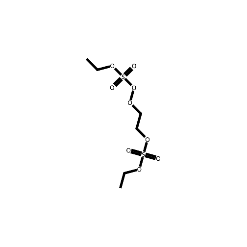 CCOS(=O)(=O)OCCOOS(=O)(=O)OCC